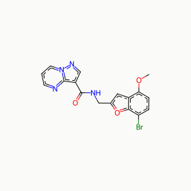 COc1ccc(Br)c2oc(CNC(=O)c3cnn4cccnc34)cc12